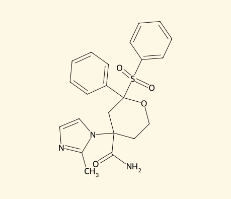 Cc1nccn1C1(C(N)=O)CCOC(c2ccccc2)(S(=O)(=O)c2ccccc2)C1